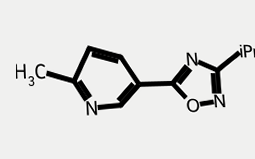 Cc1ccc(-c2nc(C(C)C)no2)cn1